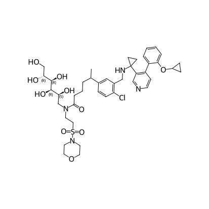 CC(CCCC(=O)N(CCS(=O)(=O)N1CCOCC1)C[C@H](O)[C@@H](O)[C@H](O)[C@H](O)CO)c1ccc(Cl)c(CNC2(c3cnccc3-c3ccccc3OC3CC3)CC2)c1